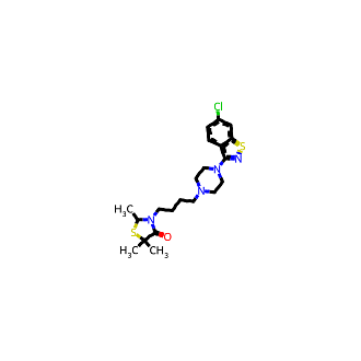 CC1SC(C)(C)C(=O)N1CCCCN1CCN(c2nsc3cc(Cl)ccc23)CC1